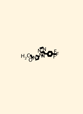 C=CC(=O)N1CCC(n2nc(-c3ccc(C(F)(F)F)cc3)c3nccnc32)C1